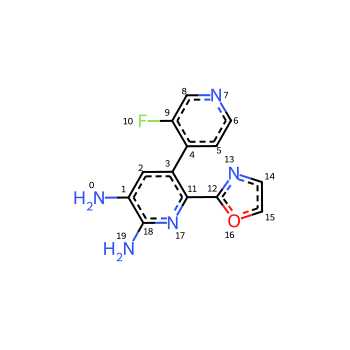 Nc1cc(-c2ccncc2F)c(-c2ncco2)nc1N